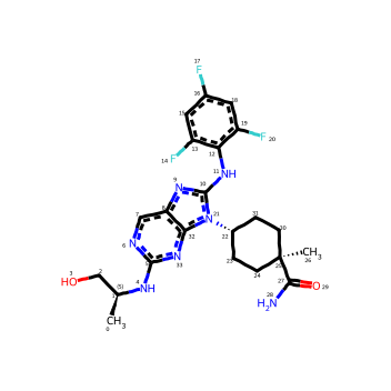 C[C@@H](CO)Nc1ncc2nc(Nc3c(F)cc(F)cc3F)n([C@H]3CC[C@](C)(C(N)=O)CC3)c2n1